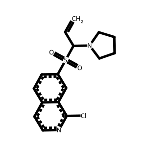 C=CC(N1CCCC1)S(=O)(=O)c1ccc2ccnc(Cl)c2c1